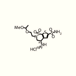 CCCN[C@H]1CN(CCOC(C)OC)S(=O)(=O)c2sc(S(N)(=O)=O)cc21.Cl